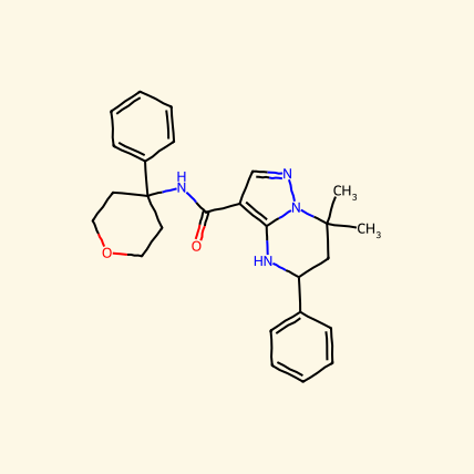 CC1(C)CC(c2ccccc2)Nc2c(C(=O)NC3(c4ccccc4)CCOCC3)cnn21